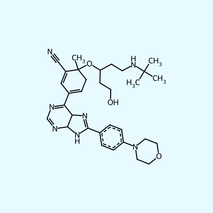 CC(C)(C)NCCC(CCO)OC1(C)CC=C(C2=NC=NC3NC(c4ccc(N5CCOCC5)cc4)=NC23)C=C1C#N